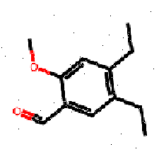 CCc1cc(C=O)c(OC)cc1CC